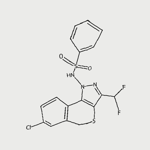 O=S(=O)(Nn1nc(C(F)F)c2c1-c1ccc(Cl)cc1CS2)c1ccccc1